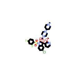 COc1ncccc1C1(OC(=O)N2CCN(C3CCN(C)CC3)CC2)C(=O)N(S(=O)(=O)c2ccc(F)cc2F)c2ccc(Cl)cc21